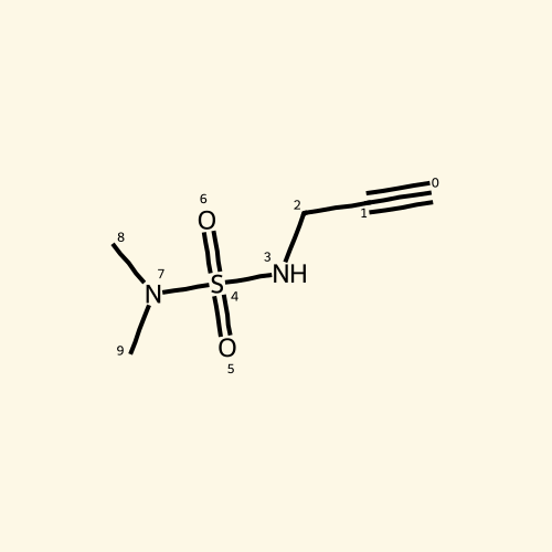 C#CCNS(=O)(=O)N(C)C